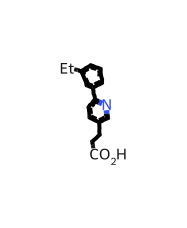 CCc1cccc(-c2ccc(CCC(=O)O)cn2)c1